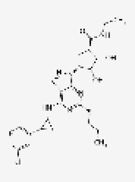 CCCSc1nc(NC2CC2c2cccc(Cl)c2)c2nnn([C@H]3C[C@@H](C(=O)NCC)[C@H](O)[C@@H]3O)c2n1